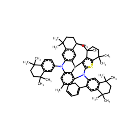 Cc1cc2c3c(c1)N(c1cc4c(cc1C1=CC=CCC1)C(C)(C)CCC4(C)C)c1sc4c5c1B3c1cc3c(cc1N2c1ccc2c(c1)C(C)(C)CCC2(C)C)C(C)(C)CCC3(C)CC5(C)CCC4(C)C